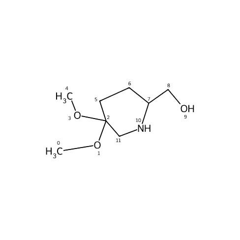 COC1(OC)CCC(CO)NC1